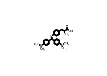 CN(C)c1ccc(C(=Nc2ccc(CC(N)C(=O)O)cc2)c2ccc(N(C)C)cc2)cc1